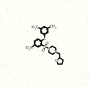 Cc1cc(C)cc(Sc2ccc([N+](=O)[O-])cc2S(=O)(=O)N2CCN(CC3CCCO3)CC2)c1